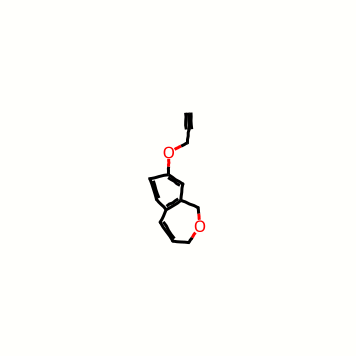 C#CCOc1ccc2c(c1)COCC=C2